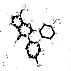 N#Cc1ccc(-n2c([C@@H]3CCC[C@@H](C(F)(F)F)C3)nc3c(ncn3C(F)(F)F)c2=O)nc1